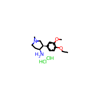 CCOc1ccc([C@@H]2CN(C)CC[C@@H]2N)cc1OC.Cl.Cl